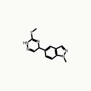 CSC1=NC(c2ccc3c(cnn3C)c2)C=NN1